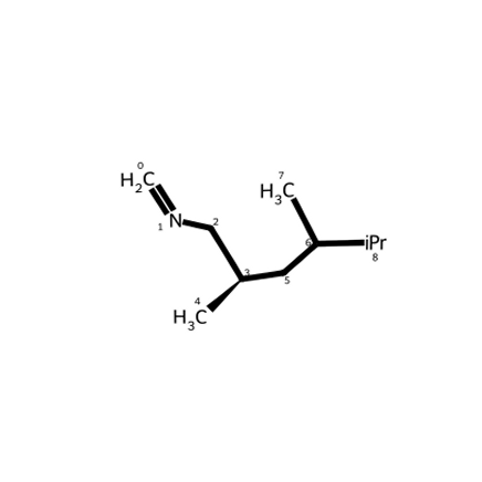 C=NC[C@H](C)CC(C)C(C)C